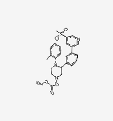 Cc1ccccc1N1CCN(OC(=O)OC(C)(C)C)CC1c1cccc(-c2cncc(S(C)(=O)=O)c2)c1